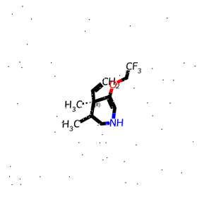 C=C[C@@]1(C)C(OCC(F)(F)F)=CNCC1C